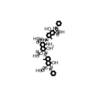 Cc1c(N=Nc2c(OS(=O)O)cc3cc(S(=O)(=O)O)c(N=Nc4ccc5c(O)c(N=Nc6ccccc6)c(S(=O)(=O)O)cc5c4C)c(N)c3c2O)ccc2c(O)c(N=Nc3ccccc3)c(SOOO)cc12